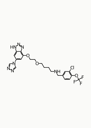 FC(F)(F)Oc1ccc(CNCCCCOCCOc2cc(-n3cnnc3)cc3[nH]nnc23)cc1Cl